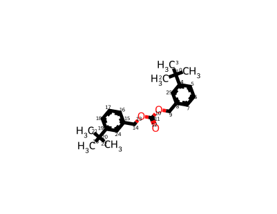 CC(C)(C)c1cccc(COC(=O)OCc2cccc(C(C)(C)C)c2)c1